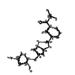 CN(C)C(=O)c1ccnc(N2Cc3cn(Cc4ccc(F)cc4F)nc3C2)n1